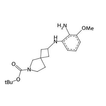 COc1cccc(NC2CC3(CCN(C(=O)OC(C)(C)C)C3)C2)c1N